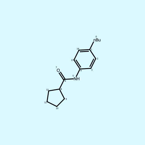 CCCCc1ccc(NC(=O)C2CCCC2)cc1